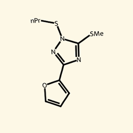 CCCSn1nc(-c2ccco2)nc1SC